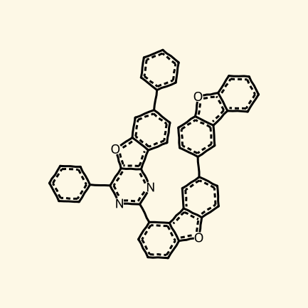 c1ccc(-c2ccc3c(c2)oc2c(-c4ccccc4)nc(-c4cccc5oc6ccc(-c7ccc8oc9ccccc9c8c7)cc6c45)nc23)cc1